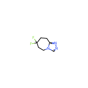 FC1(F)CCc2nncn2CC1